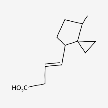 CC1CCC(C=CCC(=O)O)C12CC2